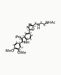 COc1ccc(-c2[nH]c3ccc(-c4nnc(CNCCNC(C)=O)o4)cc3c2C(C)C)cc1OC